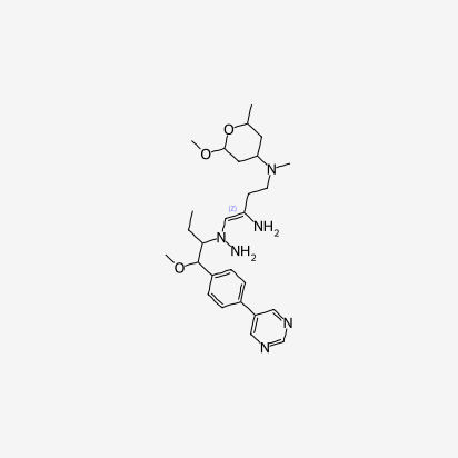 CCC(C(OC)c1ccc(-c2cncnc2)cc1)N(N)/C=C(\N)CCN(C)C1CC(C)OC(OC)C1